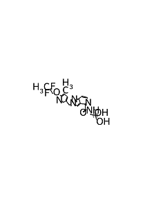 Cc1cc(Cn2cc3c(C(=O)NC[C@H](O)CO)nccc3n2)cnc1OCC(C)(F)F